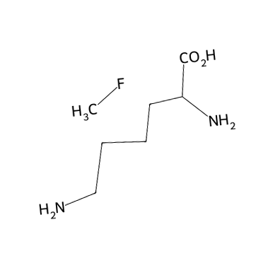 CF.NCCCCC(N)C(=O)O